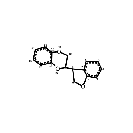 [C]1Oc2ccccc2C1C1COc2ccccc2O1